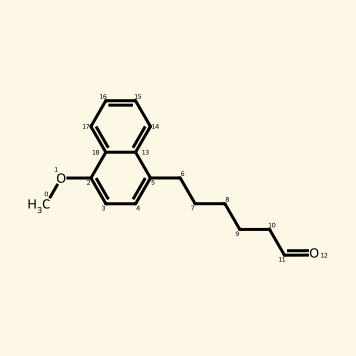 COc1ccc(CCCCCC=O)c2ccccc12